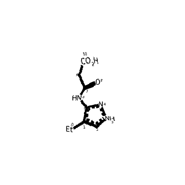 CCc1c[nH]nc1NC(=O)CC(=O)O